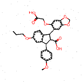 CCCOc1ccc2c(c1)C(c1ccc(OC)cc1)C(C(=O)O)C2c1cc2c(cc1OCC(=O)O)OCO2